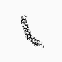 CCCc1cnc(N2CCC3(CC2)CC2(Cc4cc(C5=CCN(S(C)(=O)=O)CC5)ncc4O2)C3)nc1